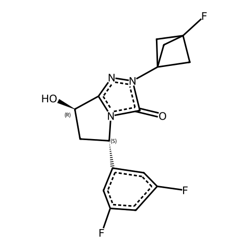 O=c1n(C23CC(F)(C2)C3)nc2n1[C@H](c1cc(F)cc(F)c1)C[C@H]2O